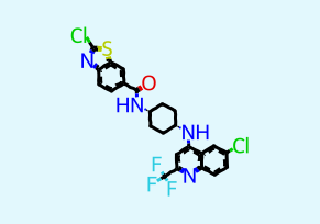 O=C(N[C@H]1CC[C@@H](Nc2cc(C(F)(F)F)nc3ccc(Cl)cc23)CC1)c1ccc2nc(Cl)sc2c1